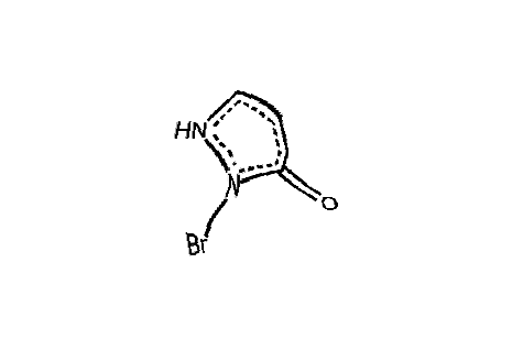 O=c1cc[nH]n1Br